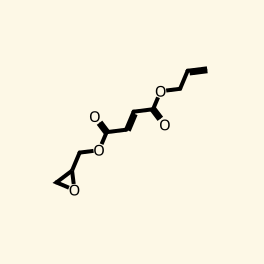 C=CCOC(=O)C=CC(=O)OCC1CO1